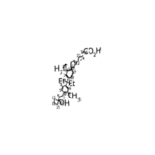 CCC(CC)(c1ccc(CCC2(O)CCC2)c(C)c1)c1ccc(OCCCCC(=O)O)c(C)c1